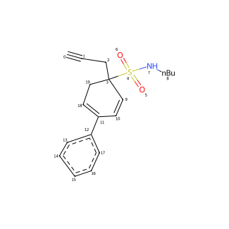 C#CCC1(S(=O)(=O)NCCCC)C=CC(c2ccccc2)=CC1